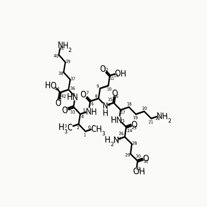 CCC(C)C(NC(=O)C(CCC(=O)O)NC(=O)C(CCCCN)NC(=O)C(N)CCC(=O)O)C(=O)NC(CCCCN)C(=O)O